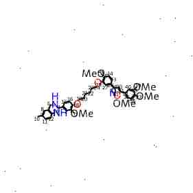 COc1cc(C2NCc3cc(C)ccc3N2)ccc1OCCCCCCOc1cc(-c2cc(-c3cc(OC)c(OC)c(OC)c3)on2)ccc1OC